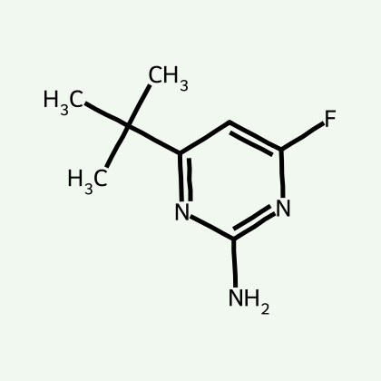 CC(C)(C)c1cc(F)nc(N)n1